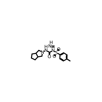 Cc1ccc(S(=O)(=O)NC(=O)NN2CC3CCCC3C2)cc1.[NaH]